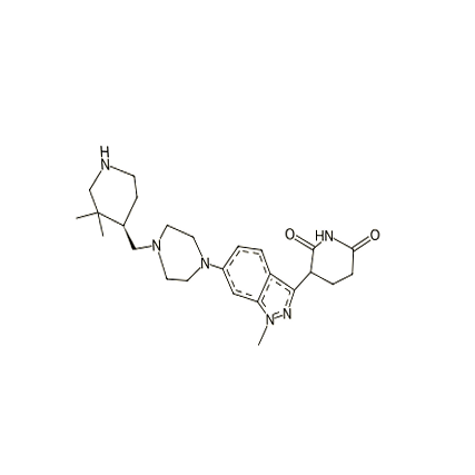 Cn1nc(C2CCC(=O)NC2=O)c2ccc(N3CCN(C[C@@H]4CCNCC4(C)C)CC3)cc21